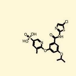 Cc1cc(P(=O)(O)O)cnc1Oc1cc(OC(C)C)cc(C(=O)Nc2ncc(Cl)s2)c1